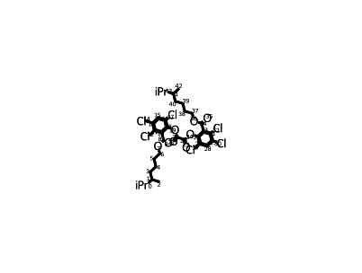 CC(C)C(C)CCCCOC(=O)c1c(Cl)c(Cl)cc(Cl)c1OC(=O)C(=O)Oc1c(Cl)cc(Cl)c(Cl)c1C(=O)OCCCCC(C)C(C)C